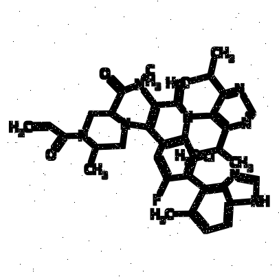 C=CC(=O)N1CC2C(=O)N(C)c3c(c4cc(F)c(-c5c(C)ccc6[nH]cnc56)c(Cl)c4n(-c4c(C(C)C)ncnc4C(C)C)c3=O)N2CC1C